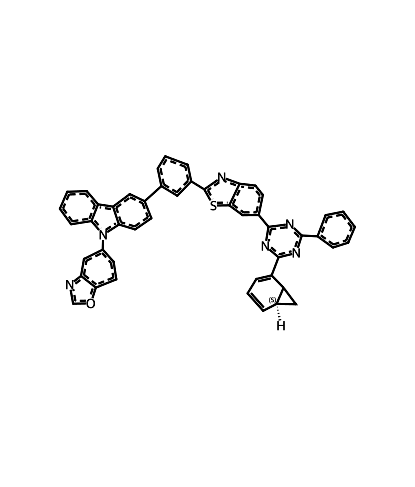 C1=C[C@@H]2CC2C(c2nc(-c3ccccc3)nc(-c3ccc4nc(-c5cccc(-c6ccc7c(c6)c6ccccc6n7-c6ccc7ocnc7c6)c5)sc4c3)n2)=C1